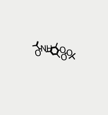 C=C(C)C(=O)NCc1cc(C)c(OC(=O)OC(C)(C)C)c(C)c1